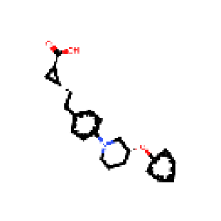 O=C(O)[C@@H]1C[C@H]1CCc1ccc(N2CCC[C@@H](Oc3ccccc3)C2)cc1